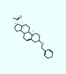 CC(=O)[C@H]1CCC2C3CC=C4CC(OCC5=CCCC=C5)CC[C@]4(C)C3CC[C@@]21C